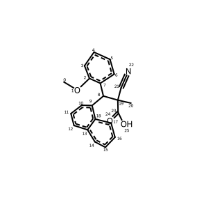 COc1ccccc1C(c1cccc2ccccc12)C(C)(C#N)C(=O)O